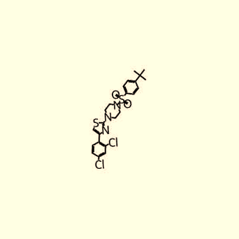 CC(C)(C)c1ccc(S(=O)(=O)N2CCN(c3nc(-c4ccc(Cl)cc4Cl)cs3)CC2)cc1